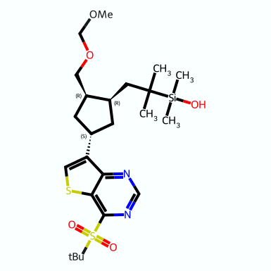 COCOC[C@@H]1C[C@@H](c2csc3c(S(=O)(=O)C(C)(C)C)ncnc23)C[C@@H]1CC(C)(C)[Si](C)(C)O